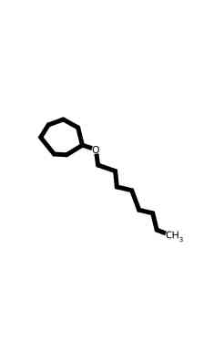 CCCCCCCCOC1CCCCCC1